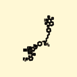 CN(CCCCCc1ccc(Oc2cccc3c2C(=O)NC(=O)C3=O)cc1)C[C@H]1CC[C@H](n2cc3cc(NC(=O)c4cccc(C(F)(F)F)n4)c(C(C)(C)O)cc3n2)CC1